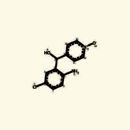 Nc1ccc(Cl)cc1C(O)c1cc[n+]([O-])cc1